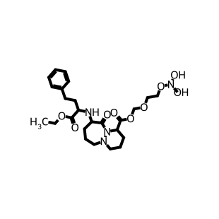 CCOC(=O)C(CCc1ccccc1)NC1CCCN2CCCC(C(=O)OCOCCON(O)O)N2C1=O